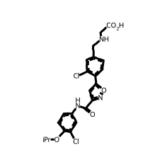 CC(C)Oc1ccc(NC(=O)c2cc(-c3ccc(CNCC(=O)O)cc3Cl)on2)cc1Cl